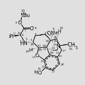 CO[C@@]12CC[C@@H](N[C@H](C(=O)OC(C)(C)C)C(C)C)[C@@H]3Oc4c(O)ccc5c4[C@@]31CCN(C)[C@@H]2C5